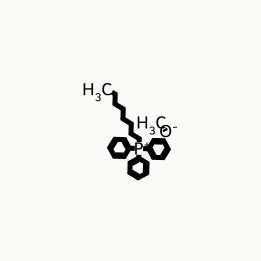 CCCCCCCC[P+](c1ccccc1)(c1ccccc1)c1ccccc1.C[O-]